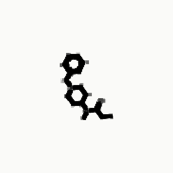 CCC(=O)N(C)C1CCN(Cc2ccccc2)CC1